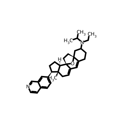 CCN(C(C)C)C1CCC2=CC3=CC[C@]4(C)[C@@H](c5ccc6ccncc6c5)CC[C@H]4[C@@]34CC[C@]2(C1)O4